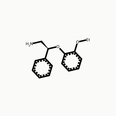 CCOc1ccccc1O[C@H](CN)c1ccccc1